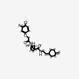 O=C(COc1ccc(Cl)c(F)c1)N[C@H]1CC2(C(=O)NCCC3CCC(F)CC3)CC1C2